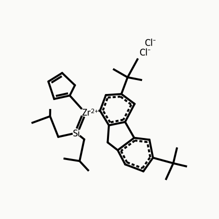 CC(C)C[Si](CC(C)C)=[Zr+2]([C]1=CC=CC1)[c]1cc(C(C)(C)C)cc2c1Cc1ccc(C(C)(C)C)cc1-2.[Cl-].[Cl-]